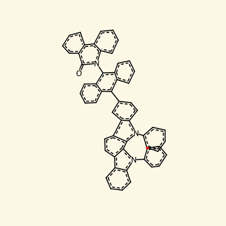 O=c1c2ccccc2c2ccccc2n1-c1c2ccccc2c(-c2ccc3c(c2)c2ccc4c5ccccc5n(-c5ccccc5)c4c2n3-c2ccccc2)c2ccccc12